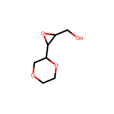 OCC1OC1C1COCCO1